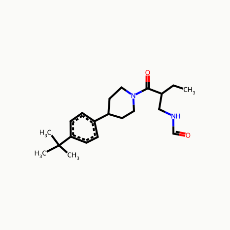 CCC(CNC=O)C(=O)N1CCC(c2ccc(C(C)(C)C)cc2)CC1